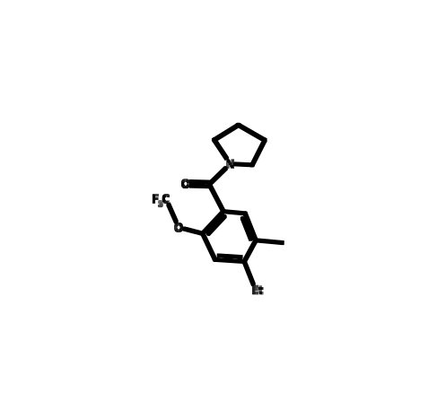 CCc1cc(OC(F)(F)F)c(C(=O)N2CCCC2)cc1C